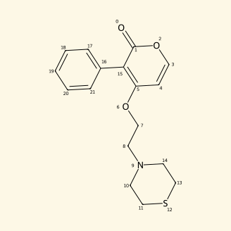 O=c1occc(OCCN2CCSCC2)c1-c1ccccc1